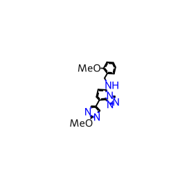 COc1ncc(-c2ccc(NCc3ccccc3OC)n3cnnc23)cn1